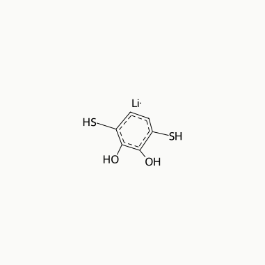 Oc1c(S)ccc(S)c1O.[Li]